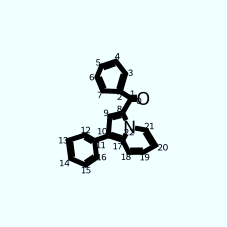 O=C(c1ccccc1)c1cc(-c2ccccc2)c2ccccn12